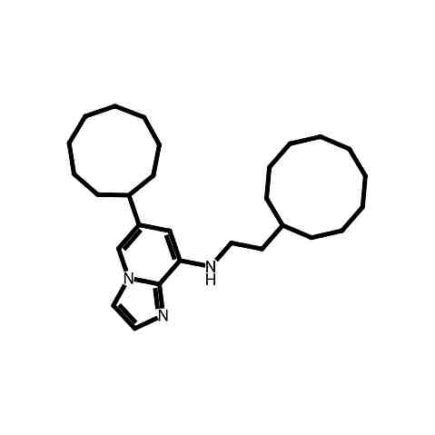 c1cn2cc(C3CCCCCCCC3)cc(NCCC3CCCCCCCCC3)c2n1